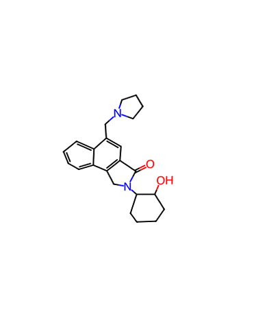 O=C1c2cc(CN3CCCC3)c3ccccc3c2CN1C1CCCCC1O